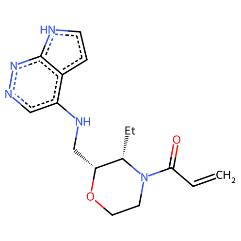 C=CC(=O)N1CCO[C@H](CNc2cnnc3[nH]ccc23)[C@@H]1CC